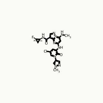 CNc1cc(Nc2cc(Cl)cn(-c3cnn(C)c3)c2=O)nc2c(C(=O)N[C@H]3C[C@H]3F)cnn12